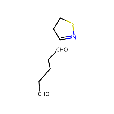 C1=NSCC1.O=CCCCC=O